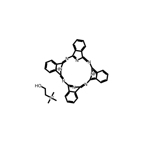 C[N+](C)(C)CCO.c1ccc2c(c1)-c1nc-2nc2[nH]c(nc3nc(nc4[nH]c(n1)c1ccccc41)-c1ccccc1-3)c1ccccc21